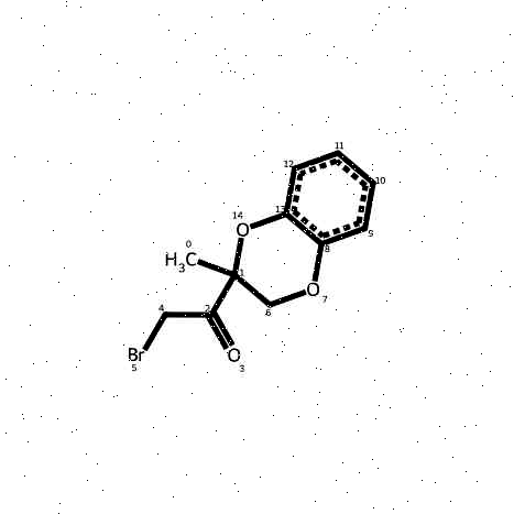 CC1(C(=O)CBr)COc2ccccc2O1